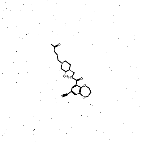 CC(=O)CCCN1CC[C@@H](CNC(=O)c2cc(C#N)cc3c2OCCCO3)[C@H](O)C1